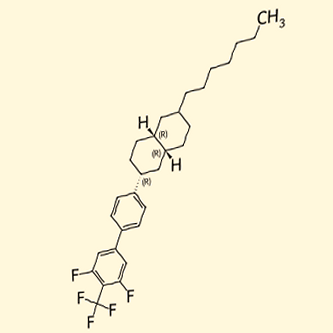 CCCCCCCC1CC[C@@H]2C[C@H](c3ccc(-c4cc(F)c(C(F)(F)F)c(F)c4)cc3)CC[C@@H]2C1